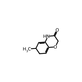 CC1C=C2NC(=O)COC2=CC1